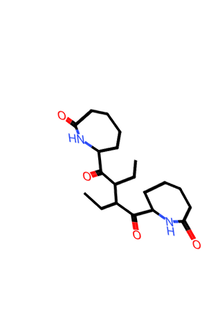 CCC(C(=O)C1CCCCC(=O)N1)C(CC)C(=O)C1CCCCC(=O)N1